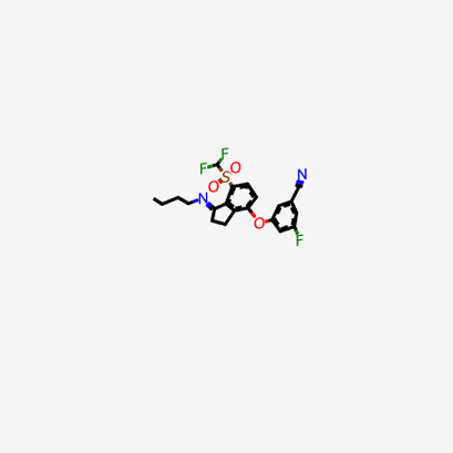 CCCCN=C1CCc2c(Oc3cc(F)cc(C#N)c3)ccc(S(=O)(=O)C(F)F)c21